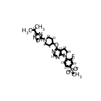 CC(C)c1noc(N2CCC(Oc3ncnc4c3CCN4c3ccc(S(C)(=O)=O)cc3F)CC2)n1